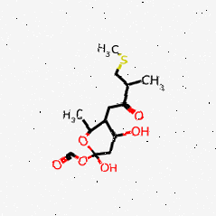 CSCC(C)C(=O)CC1C(O)CC(O)(OC=O)OC1C